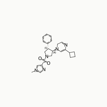 Cn1cnc(S(=O)(=O)N2C[C@H](c3ccccc3)[C@@H](N3C=C(C4CCC4)N=CC3)C2)c1